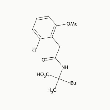 CCC(C)C(C)(NC(=O)Cc1c(Cl)cccc1OC)C(=O)O